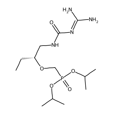 CC[C@H](CNC(=O)N=C(N)N)OCP(=O)(OC(C)C)OC(C)C